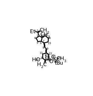 C=C(CC)C1CCC2/C(=C/C=C3\C[C@@H](O)C(=C)[C@H](O[Si](C)(C)C(C)(C)C)C3)CCC[C@]12C